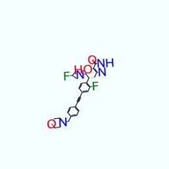 O=c1[nH]cnc(C[C@@H](CN2CC(F)C2)c2ccc(C#Cc3ccc(CN4CCOCC4)cc3)cc2F)c1O